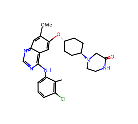 COc1cc2ncnc(Nc3cccc(Cl)c3C)c2cc1O[C@H]1CC[C@H](N2CCNC(=O)C2)CC1